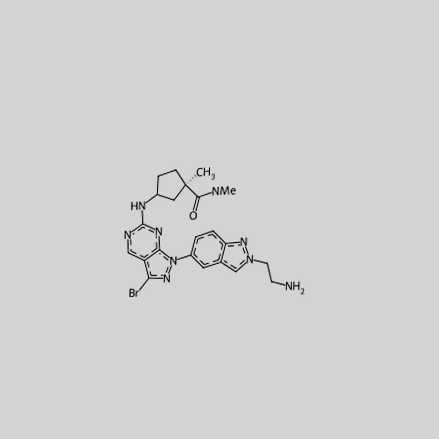 CNC(=O)[C@]1(C)CCC(Nc2ncc3c(Br)nn(-c4ccc5nn(CCN)cc5c4)c3n2)C1